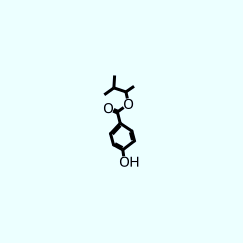 CC(C)C(C)OC(=O)c1ccc(O)cc1